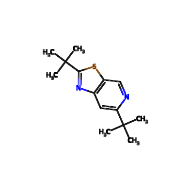 CC(C)(C)c1cc2nc(C(C)(C)C)sc2cn1